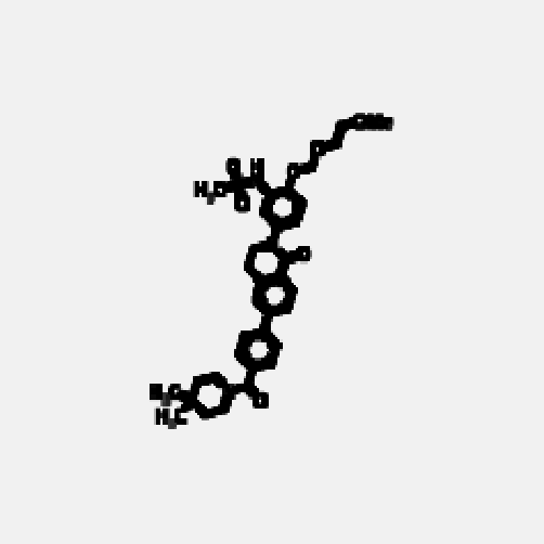 COCCOCOc1ccc(N2CCc3cc(-c4ccc(C(=O)N5CCC(C)(C)CC5)cc4)ccc3C2=O)cc1NS(C)(=O)=O